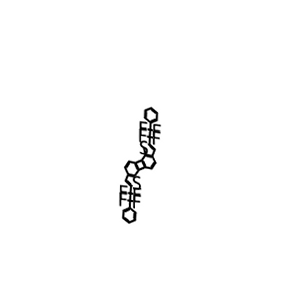 FC(F)(c1ccccc1)C(F)(F)c1cc2ccc3c(c2s1)-c1ccc2cc(C(F)(F)C(F)(F)c4ccccc4)sc2c1-3